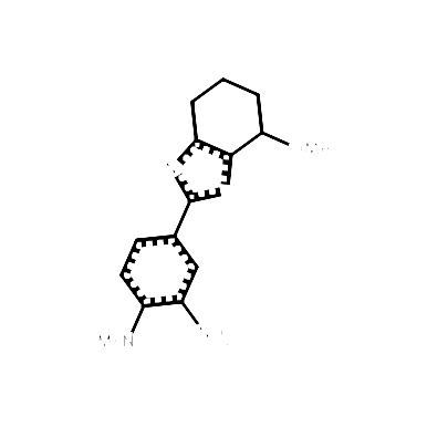 CNc1ccc(-c2nc3c(s2)C(OC)CCC3)cc1[N+](=O)[O-]